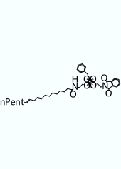 CCCCCC=CCC=CCCCCCCCC(=O)NCCOP(=O)(OCCN1C(=O)c2ccccc2C1=O)OCc1ccccc1